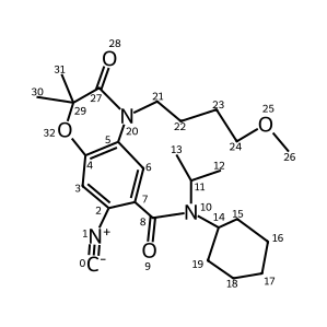 [C-]#[N+]c1cc2c(cc1C(=O)N(C(C)C)C1CCCCC1)N(CCCCOC)C(=O)C(C)(C)O2